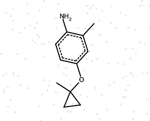 Cc1cc(OC2(C)CC2)ccc1N